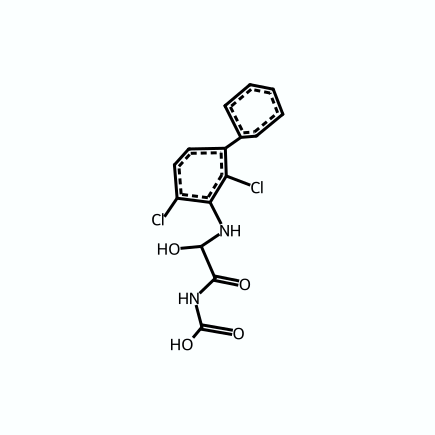 O=C(O)NC(=O)C(O)Nc1c(Cl)ccc(-c2ccccc2)c1Cl